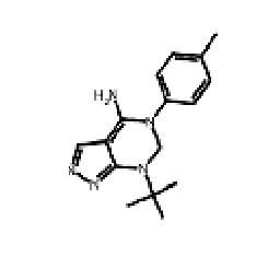 Cc1ccc(N2CN(C(C)(C)C)C3=NN=CC3=C2N)cc1